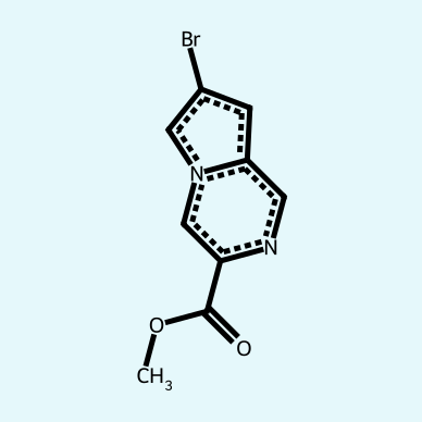 COC(=O)c1cn2cc(Br)cc2cn1